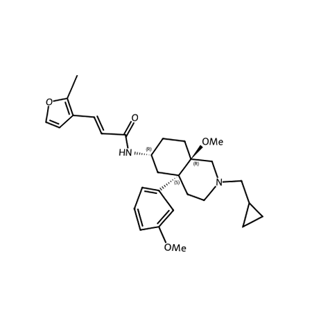 COc1cccc([C@@]23CCN(CC4CC4)C[C@@]2(OC)CC[C@@H](NC(=O)C=Cc2ccoc2C)C3)c1